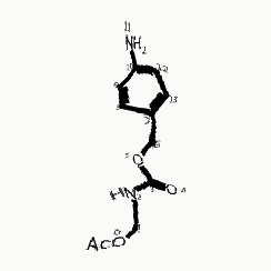 CC(=O)OCNC(=O)OCc1ccc(N)cc1